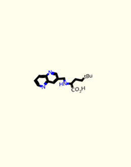 CC(C)(C)CCC(NCc1cnc2cccnc2c1)C(=O)O